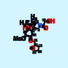 COc1ccc([C@@H]2CN(C(=O)CO)C[C@@]2(C)[C@@H](C)O)cc1OCC1CCCO1